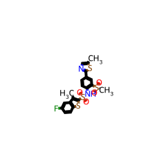 Cc1cnc(-c2ccc(NS(=O)(=O)c3sc4ccc(F)cc4c3C)c(S(C)(=O)=O)c2)s1